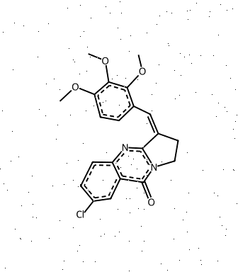 COc1ccc(/C=C2/CCn3c2nc2ccc(Cl)cc2c3=O)c(OC)c1OC